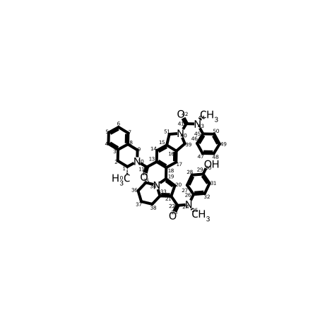 C[C@@H]1Cc2ccccc2CN1C(=O)c1cc2c(cc1-c1cc(C(=O)N(C)c3ccc(O)cc3)c3n1CCCC3)CN(C(=O)N(C)c1ccccc1)C2